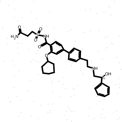 NC(=O)CCS(=O)(=O)NC(=O)c1ccc(-c2ccc(CCNC[C@@H](O)c3ccccc3)cc2)cc1OC1CCCCC1